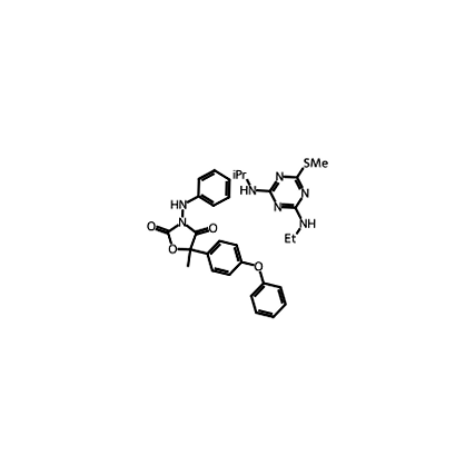 CC1(c2ccc(Oc3ccccc3)cc2)OC(=O)N(Nc2ccccc2)C1=O.CCNc1nc(NC(C)C)nc(SC)n1